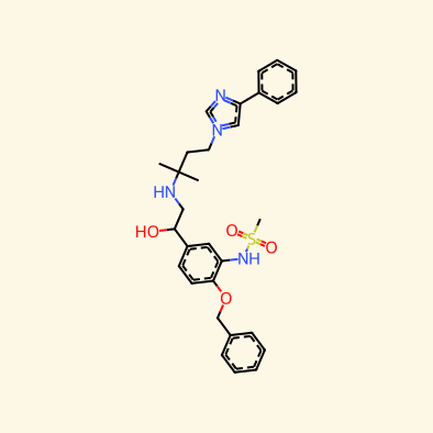 CC(C)(CCn1cnc(-c2ccccc2)c1)NCC(O)c1ccc(OCc2ccccc2)c(NS(C)(=O)=O)c1